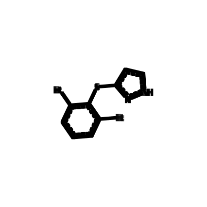 CCc1cccc(CC)c1Sc1cc[nH]n1